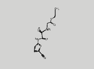 CCOC(=O)CNC(=O)C(=O)Nc1ccc(C#N)s1